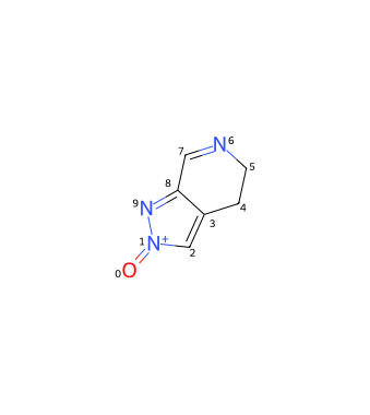 O=[N+]1C=C2CCN=CC2=N1